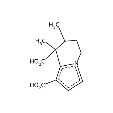 CC1CCn2ccc(C(=O)O)c2C1(C)C(=O)O